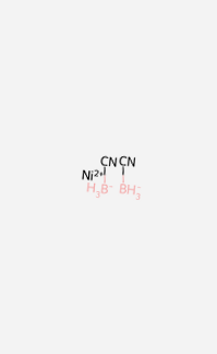 [BH3-]C#N.[BH3-]C#N.[Ni+2]